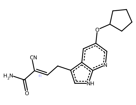 N#C/C(=C\Cc1c[nH]c2ncc(OC3CCCC3)cc12)C(N)=O